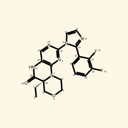 CC[C@@]12COCCN1c1nc(-n3ccnc3-c3cccc(F)c3F)ncc1NC2=O